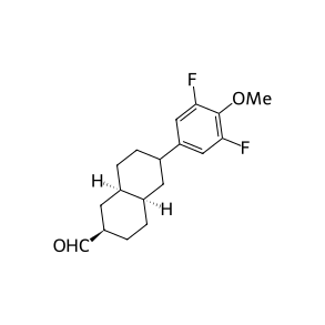 COc1c(F)cc(C2CC[C@@H]3C[C@H](C=O)CC[C@@H]3C2)cc1F